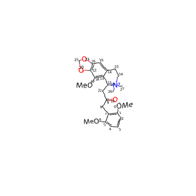 COc1cccc(OC)c1CC(=O)CC1c2c(cc3c(c2OC)OCO3)CC[N+]1(C)C